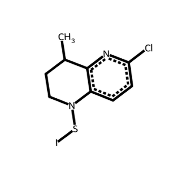 CC1CCN(SI)c2ccc(Cl)nc21